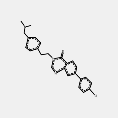 CN(C)Cc1ccc(CCn2cnc3cc(-c4ccc(Cl)cc4)ccc3c2=O)cc1